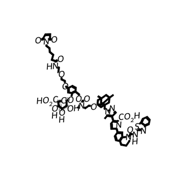 Cc1c(-c2ccc(-c3ccc4c(c3)N(C(=O)Nc3nc5ccccc5s3)CCC4)nc2C(=O)O)cnn1CC12CC3(C)CC(C)(C1)CC(OCCN(C)C(=O)OCc1ccc(OCCOCCNC(=O)CCCCCN4C(=O)C=CC4=O)cc1O[C@@H]1C[C@H](C(=O)O)[C@@H](O)[C@H](O)[C@H]1O)(C3)C2